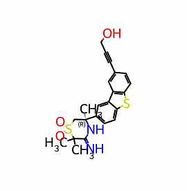 CC1(C)C(=N)N[C@](C)(c2ccc3sc4ccc(C#CCO)cc4c3c2)CS1(=O)=O